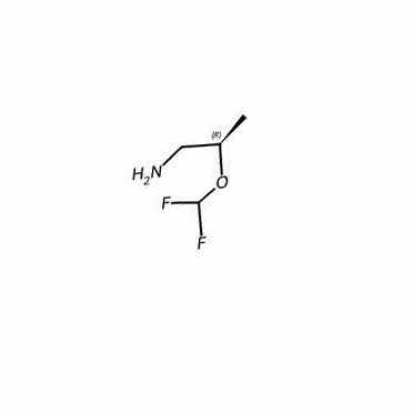 C[C@H](CN)OC(F)F